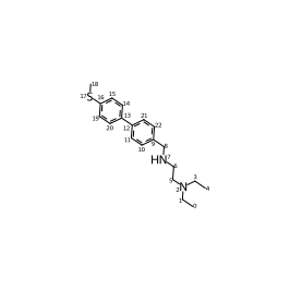 CCN(CC)CCNCc1ccc(-c2ccc(SC)cc2)cc1